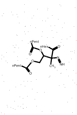 CCCCCCC(=O)C(C)(N=N)C(COC(=O)CCCCC)OC(=O)CCCCC